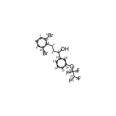 OC(CCc1c(Br)cccc1Br)c1cccc(OC(F)(F)C(F)F)c1